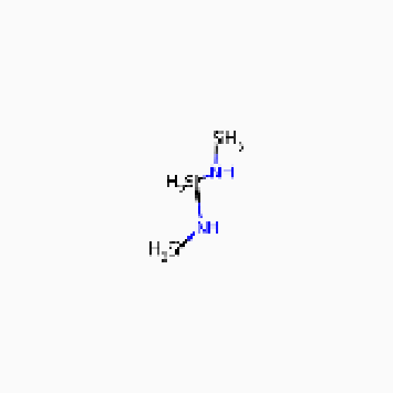 [SiH3]N[SiH2]N[SiH3]